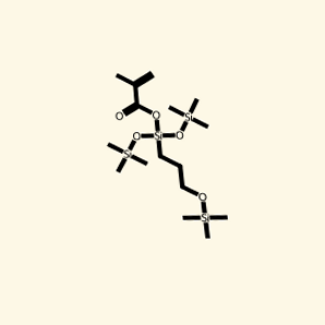 C=C(C)C(=O)O[Si](CCCO[Si](C)(C)C)(O[Si](C)(C)C)O[Si](C)(C)C